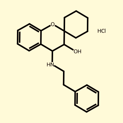 Cl.OC1C(NCCc2ccccc2)c2ccccc2OC12CCCCC2